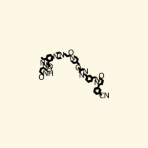 Cc1nn(C2CCC(=O)NC2=O)c(=O)c2cc(N3CCN(CCC(=O)N4CCC(COc5cnc(-c6cccc(Cn7nc(-c8cccc(C#N)c8)ccc7=O)c6)nc5)CC4)CC3)ccc12